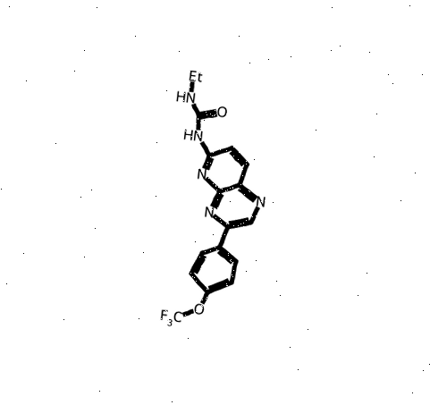 CCNC(=O)Nc1ccc2ncc(-c3ccc(OC(F)(F)F)cc3)nc2n1